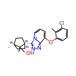 Cc1c(Cl)cccc1Oc1cccn2c([C@]34CC[C@](C)(C[C@H]3O)C4(C)C)nnc12